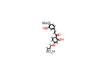 COc1ccc(C=CC(=O)c2ccc(OCCCS(=O)(=O)O)cc2O)cc1O